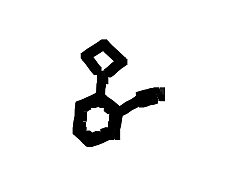 N#Cc1ncccc1N1CCC1